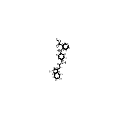 COC(=O)c1cnccc1Nc1ccc(NCCc2c[nH]c3ccccc23)cc1